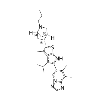 CCCN1C[C@@H]2C[C@H]1C[C@H]2c1sc2[nH]c(-c3cn4ncnc4c(C)c3C)c(C(C)C)c2c1C